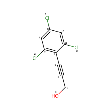 OCC#Cc1c(Cl)cc(Cl)cc1Cl